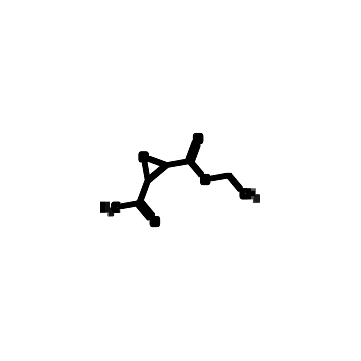 CCOC(=O)C1OC1C(C)=O